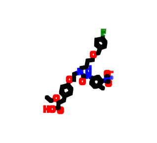 CCOC(Cc1ccc(OCCN(CCCCOCc2ccc(F)cc2)C(=O)Nc2ccc(C)c([N+](=O)[O-])c2)cc1)C(=O)O